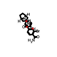 CC(=O)c1ccc(N2[C@@H]3CC[C@H]2C[C@@H](NC(=O)c2ccc(C(N)=O)c(Br)c2)C3)nc1